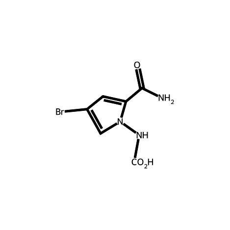 NC(=O)c1cc(Br)cn1NC(=O)O